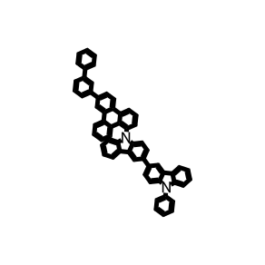 c1ccc(-c2cccc(-c3ccc4c(c3)c3ccccc3c3c(-n5c6ccccc6c6cc(-c7ccc8c(c7)c7ccccc7n8-c7ccccc7)ccc65)cccc43)c2)cc1